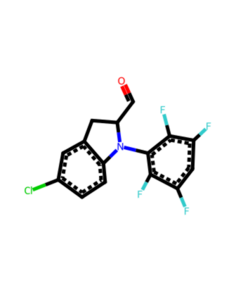 O=CC1Cc2cc(Cl)ccc2N1c1c(F)c(F)cc(F)c1F